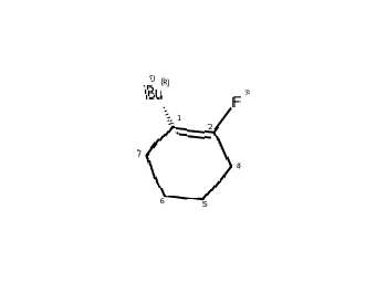 CC[C@@H](C)C1=C(F)CCCC1